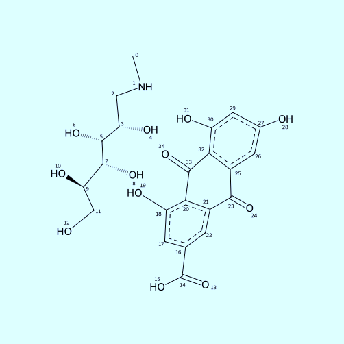 CNC[C@H](O)[C@@H](O)[C@H](O)[C@H](O)CO.O=C(O)c1cc(O)c2c(c1)C(=O)c1cc(O)cc(O)c1C2=O